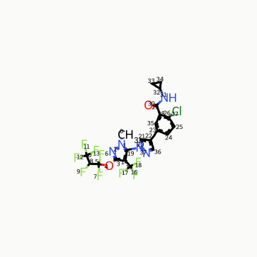 Cn1nc(OC(F)(F)C(F)C(F)(F)F)c(C(F)(F)F)c1-n1cc(-c2ccc(Cl)c(C(=O)NC3CC3)c2)cn1